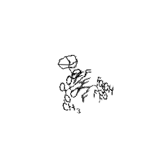 CCOC(=O)C(OCC(F)C(F)C(F)(F)S(=O)(=O)O)(OC(=O)C12CC3CC(CC(C3)C1)C2)C(F)(F)F